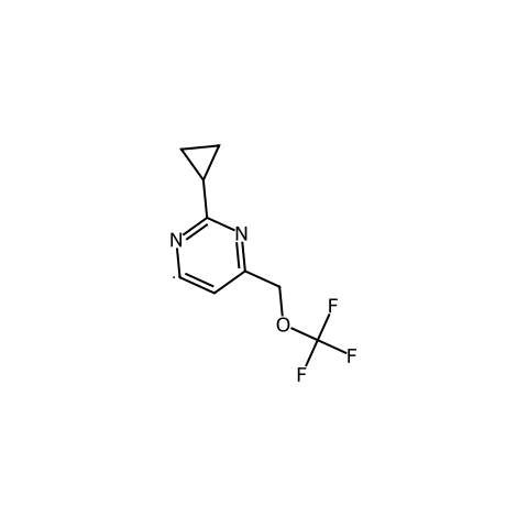 FC(F)(F)OCc1c[c]nc(C2CC2)n1